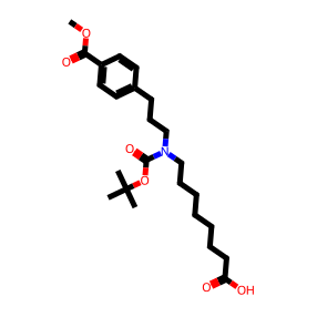 COC(=O)c1ccc(CCCN(CCCCCCCC(=O)O)C(=O)OC(C)(C)C)cc1